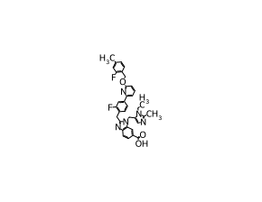 CCn1c(Cn2c(Cc3ccc(-c4cccc(OCc5ccc(C)cc5F)n4)cc3F)nc3ccc(C(=O)O)cc32)cnc1C